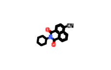 N#Cc1ccc2c3c(cccc13)C(=O)N(C1CCCCC1)C2=O